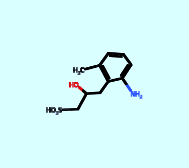 Cc1cccc(N)c1CC(O)CS(=O)(=O)O